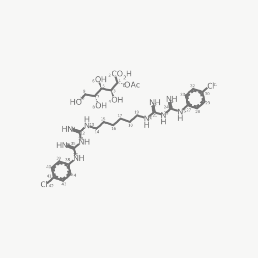 CC(=O)O[C@@H](C(=O)O)[C@@H](O)[C@H](O)[C@H](O)CO.N=C(NCCCCCCNC(=N)NC(=N)Nc1ccc(Cl)cc1)NC(=N)Nc1ccc(Cl)cc1